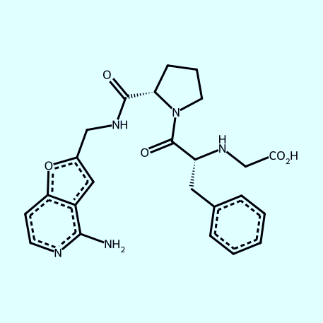 Nc1nccc2oc(CNC(=O)[C@@H]3CCCN3C(=O)[C@@H](Cc3ccccc3)NCC(=O)O)cc12